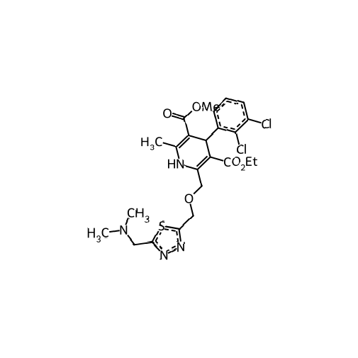 CCOC(=O)C1=C(COCc2nnc(CN(C)C)s2)NC(C)=C(C(=O)OC)C1c1cccc(Cl)c1Cl